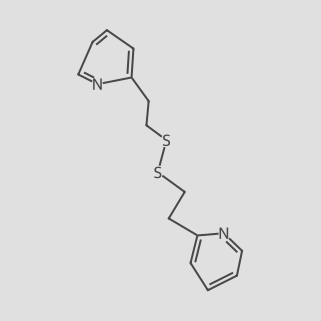 c1ccc(CCSSCCc2ccccn2)nc1